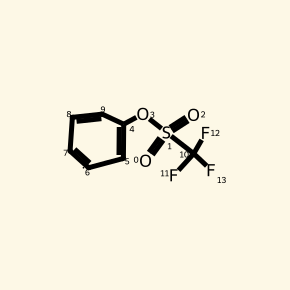 O=S(=O)(Oc1c[c]ccc1)C(F)(F)F